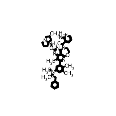 Bc1c(-c2cc(N(B)B(C)Cc3ccccc3)cc(C)c2C)nc2c3c(nc(OC[C@@]45CCCN4CC(C)C5)nc13)N(C(C)c1cccnc1N)CCO2